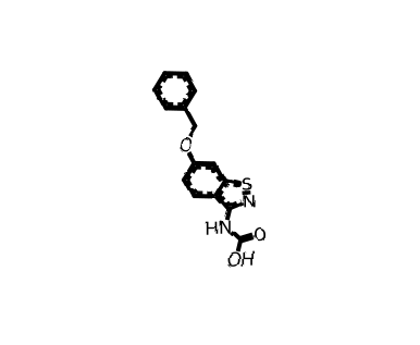 O=C(O)Nc1nsc2cc(OCc3ccccc3)ccc12